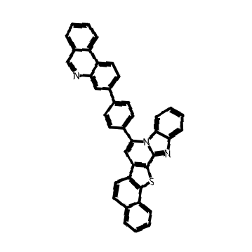 c1ccc2c(c1)cnc1cc(-c3ccc(-c4cc5c6ccc7ccccc7c6sc5c5nc6ccccc6n45)cc3)ccc12